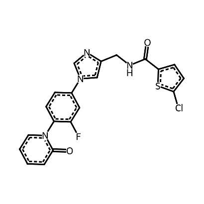 O=C(NCc1cn(-c2ccc(-n3ccccc3=O)c(F)c2)cn1)c1ccc(Cl)s1